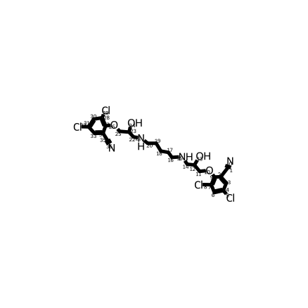 N#Cc1cc(Cl)cc(Cl)c1OCC(O)CNCCCCCNCC(O)COc1c(Cl)cc(Cl)cc1C#N